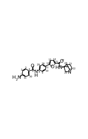 Nc1ccc(C(=O)Nc2ccc(-c3ccc(C(=O)NC4CN5CCC4CC5)o3)cc2)cc1